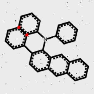 c1ccc(-c2ccc3cc4ccccc4cc3c2N(c2ccccc2)c2ccccc2)cc1